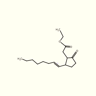 CCCCCC/C=C/C1CCC(=O)C1CC(=O)OCC